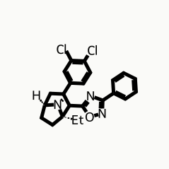 CC[C@@]12CC[C@@H](CC(c3ccc(Cl)c(Cl)c3)C1c1nc(-c3ccccc3)no1)N2C